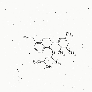 Cc1cc(C)c(C)c(C2C=Cc3c(CC(C)C)cccc3N2OC(C)CC(C)O)c1